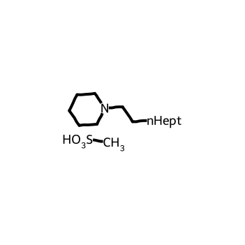 CCCCCCCCCN1CCCCC1.CS(=O)(=O)O